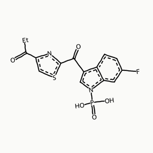 CCC(=O)c1csc(C(=O)c2cn(P(=O)(O)O)c3cc(F)ccc23)n1